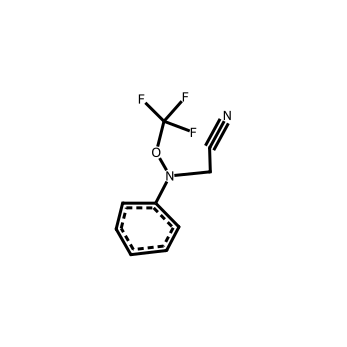 N#CCN(OC(F)(F)F)c1ccccc1